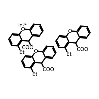 CCc1cccc2c1C(C(=O)[O-])c1ccccc1O2.CCc1cccc2c1C(C(=O)[O-])c1ccccc1O2.CCc1cccc2c1C(C(=O)[O-])c1ccccc1O2.[In+3]